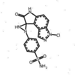 NS(=O)(=O)c1ccc(N2NC23C(=O)Nc2ccc4c(cnn4Cl)c23)cc1